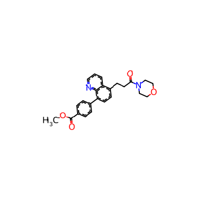 COC(=O)c1ccc(-c2ccc(CCC(=O)N3CCOCC3)c3cccnc23)cc1